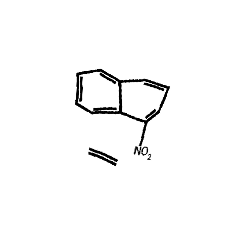 C=C.O=[N+]([O-])c1cccc2ccccc12